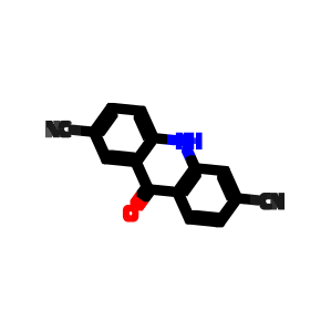 N#Cc1ccc2c(=O)c3cc(C#N)ccc3[nH]c2c1